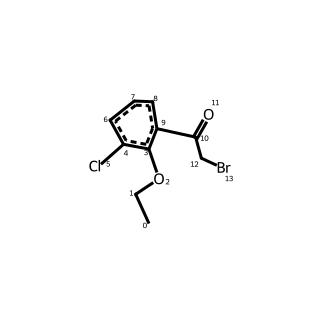 CCOc1c(Cl)cccc1C(=O)CBr